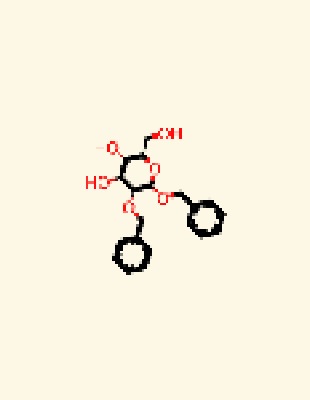 OC[C@H]1O[C@@H](OCc2ccccc2)[C@H](OCc2ccccc2)[C@@H](O)[C@@H]1O